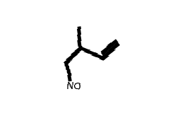 C=CC(C)CN=O